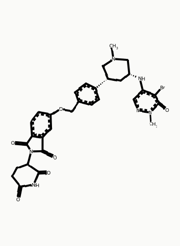 CN1C[C@H](Nc2cnn(C)c(=O)c2Br)C[C@H](c2ccc(COc3ccc4c(c3)C(=O)N(C3CCC(=O)NC3=O)C4=O)cc2)C1